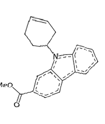 COC(=O)c1ccc2c3ccccc3n(C3CC=CCC3)c2c1